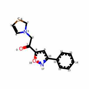 O=C(CN1C=CSC1)c1cc(-c2ccccc2)no1